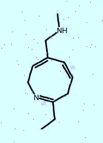 CC/C1=N/CC=C(CNC)/C=C\C1